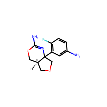 NC1=NC2(c3cc(N)ccc3F)COC[C@H]2CO1